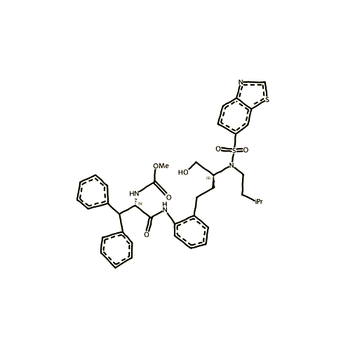 COC(=O)N[C@H](C(=O)Nc1ccccc1CC[C@@H](CO)N(CCC(C)C)S(=O)(=O)c1ccc2ncsc2c1)C(c1ccccc1)c1ccccc1